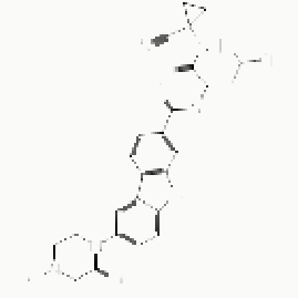 CC(C)C[C@H](NC(=O)c1ccc2c(c1)oc1ccc(N3CCN(C)CC3=O)cc12)C(=O)NC1(C#N)CC1